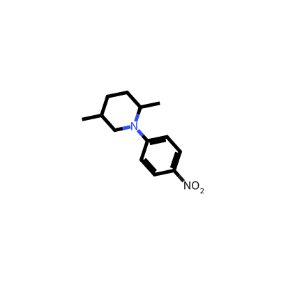 CC1CCC(C)N(c2ccc([N+](=O)[O-])cc2)C1